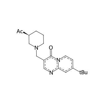 CC(=O)[C@H]1CCCN(Cc2cnc3cc(C(C)(C)C)ccn3c2=O)C1